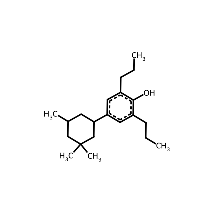 CCCc1cc(C2CC(C)CC(C)(C)C2)cc(CCC)c1O